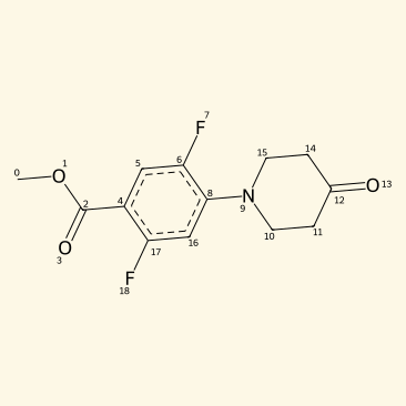 COC(=O)c1cc(F)c(N2CCC(=O)CC2)cc1F